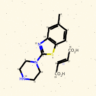 Cc1ccc2sc(N3CCNCC3)nc2c1.O=C(O)/C=C/C(=O)O